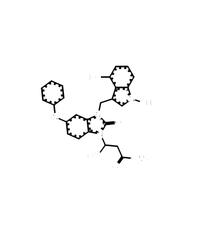 CCCC(CC(=O)OC)n1c(=O)n(Cc2cn(C)c3cccc(C)c23)c2cc(Nc3ccccc3)ccc21